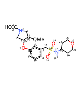 CO[C@@H]1CN(C(=O)O)C[C@H]1Oc1cccc(CS(=O)(=O)N(C)C2CCOCC2)c1